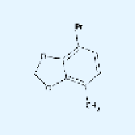 Cc1ccc(C(C)C)c2c1OCO2